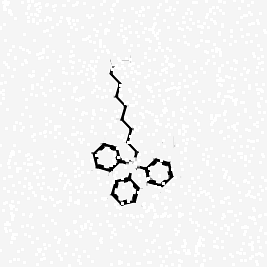 CCCCCCCCC[N+](c1ccccc1)(c1ccccc1)c1ccccc1.[Cl-]